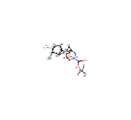 CCC(O)C12CN(C(=O)OC(C)(C)C)CCC1(c1ccc(Cl)c(Cl)c1)C2